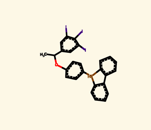 CC(Oc1ccc([SH]2c3ccccc3-c3ccccc32)cc1)c1cc(I)c(I)c(I)c1